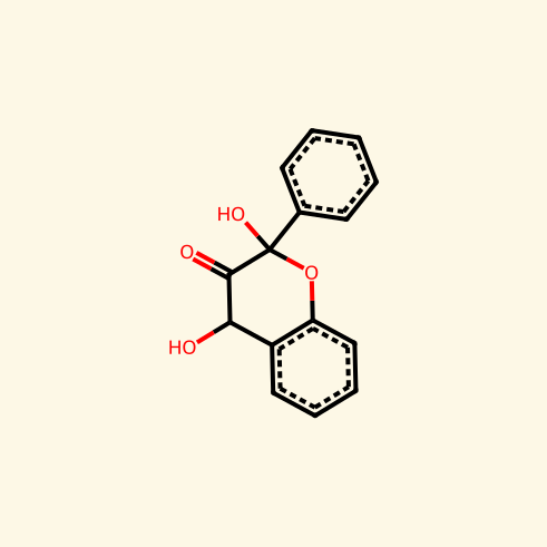 O=C1C(O)c2ccccc2OC1(O)c1ccccc1